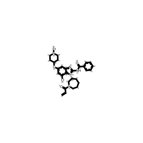 C=CC(=O)N1CCCC[C@@H](n2c(NC(=O)c3ccccc3)nc3cc(OC4CCN(CC)CC4)cc(Cl)c32)C1